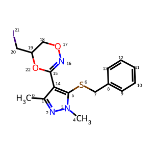 Cc1nn(C)c(SCc2ccccc2)c1C1=NOCC(CI)O1